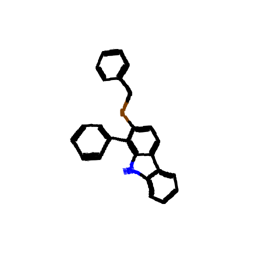 c1ccc(CSc2ccc3c([nH]c4ccccc43)c2-c2ccccc2)cc1